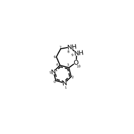 c1ncc2c(n1)CCNNO2